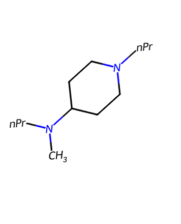 CCCN1CCC(N(C)CCC)CC1